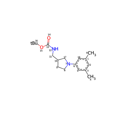 Cc1cc(C)cc(N2CCC(CNC(=O)OC(C)(C)C)C2)c1